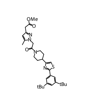 COC(=O)Cc1cc(C)n(CC(=O)N2CCC(c3csc(-c4cc(C(C)(C)C)cc(C(C)(C)C)c4)n3)CC2)n1